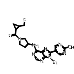 CCn1c(-c2cnc(C)nc2)nc2c(NC3CCN(C(=O)C4CC4CF)C3)ncnc21